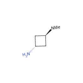 CN[C@H]1C[C@H](N)C1